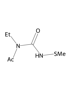 CCN(C(C)=O)C(=O)NSC